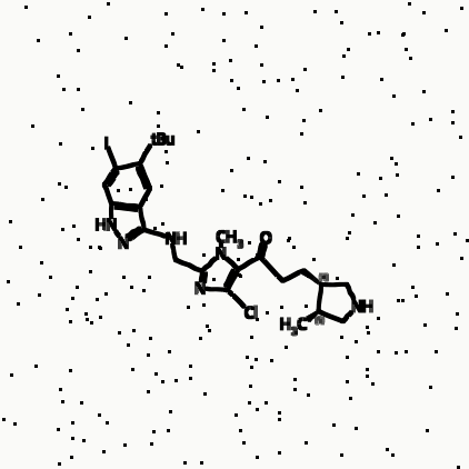 C[C@@H]1CNC[C@@H]1CCC(=O)c1c(Cl)nc(CNc2n[nH]c3cc(I)c(C(C)(C)C)cc23)n1C